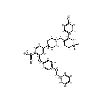 CC1(C)CCC(CN2CCN(c3ccc(C(=O)O)c(Oc4ccc(OCc5ccccc5)nc4)c3)CC2)=C(c2ccc(Cl)cc2)C1